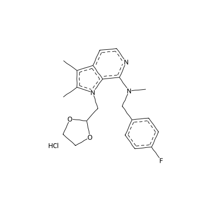 Cc1c(C)n(CC2OCCO2)c2c(N(C)Cc3ccc(F)cc3)nccc12.Cl